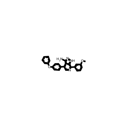 COc1cccc(-c2ncc(-c3ccc(Oc4ccccc4)cc3)c3c(N)n[nH]c23)c1